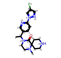 CC(c1ccc(-n2cc(F)cn2)nc1)N1CCN(C)C2(CCNCC2)C1=O